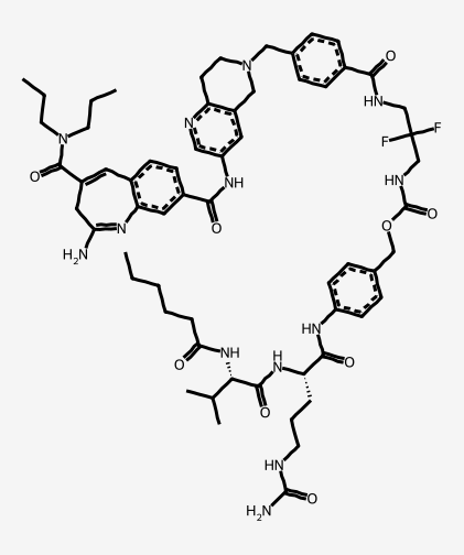 CCCCCC(=O)N[C@H](C(=O)N[C@@H](CCCNC(N)=O)C(=O)Nc1ccc(COC(=O)NCC(F)(F)CNC(=O)c2ccc(CN3CCc4ncc(NC(=O)c5ccc6c(c5)N=C(N)CC(C(=O)N(CCC)CCC)=C6)cc4C3)cc2)cc1)C(C)C